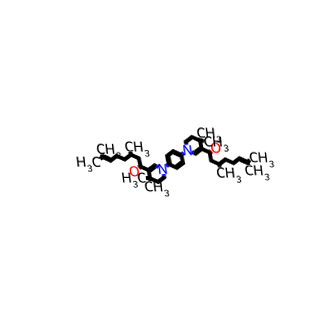 CC(C)=CCCC(C)CC(=O)C1=CN(c2ccc(N3C=C(C(=O)CC(C)CCC=C(C)C)C(C)(C)CC3)cc2)CCC1(C)C